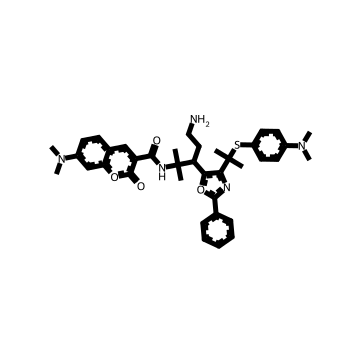 CN(C)c1ccc(SC(C)(C)c2nc(-c3ccccc3)oc2C(CCN)C(C)(C)NC(=O)c2cc3ccc(N(C)C)cc3oc2=O)cc1